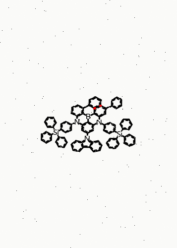 c1ccc(-c2ccc3c(c2)N(c2ccc([Si](c4ccccc4)(c4ccccc4)c4ccccc4)cc2)c2cc(-n4c5ccccc5c5ccccc54)cc4c2B3c2c(-c3ccccc3)cccc2N4c2ccc([Si](c3ccccc3)(c3ccccc3)c3ccccc3)cc2)cc1